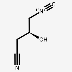 [C-]#[15N+]C[C@@H](O)CC#N